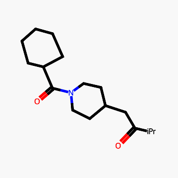 CC(C)C(=O)CC1CCN(C(=O)C2CCCCC2)CC1